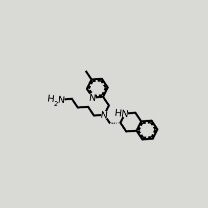 Cc1ccc(CN(CCCCN)C[C@H]2Cc3ccccc3CN2)nc1